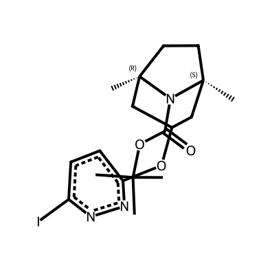 CC(C)(C)OC(=O)N1[C@@]2(C)CC[C@]1(C)CC(Oc1ccc(I)nn1)C2